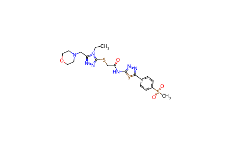 CCn1c(CN2CCOCC2)nnc1SCC(=O)Nc1nnc(-c2ccc(S(C)(=O)=O)cc2)s1